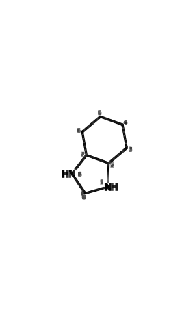 [C]1NC2CCCCC2N1